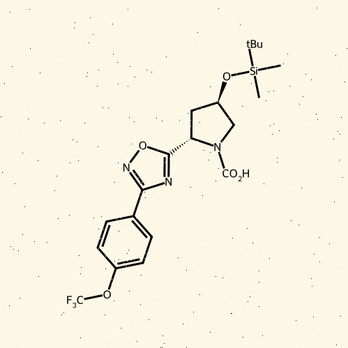 CC(C)(C)[Si](C)(C)O[C@@H]1C[C@@H](c2nc(-c3ccc(OC(F)(F)F)cc3)no2)N(C(=O)O)C1